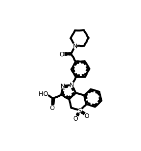 O=C(O)c1nn(-c2cccc(C(=O)N3CCCCC3)c2)c2c1CS(=O)(=O)c1ccccc1-2